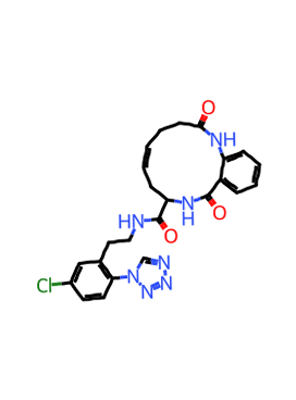 O=C1CCC=CCC(C(=O)NCCc2cc(Cl)ccc2-n2cnnn2)NC(=O)c2ccccc2N1